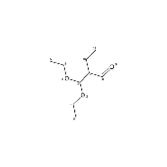 CCOC(OCC)C(C=O)CC